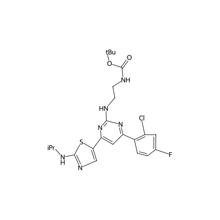 CC(C)Nc1ncc(-c2cc(-c3ccc(F)cc3Cl)nc(NCCNC(=O)OC(C)(C)C)n2)s1